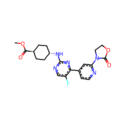 COC(=O)[C@H]1CC[C@H](Nc2ncc(F)c(-c3ccnc(N4CCOC4=O)c3)n2)CC1